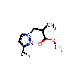 COC(=O)C(C)Cn1ccc(C)n1